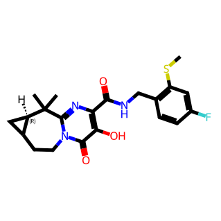 CSc1cc(F)ccc1CNC(=O)c1nc2n(c(=O)c1O)CCC1C[C@H]1C2(C)C